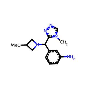 COC1CN(C(c2cccc(N)c2)c2nncn2C)C1